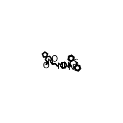 O=C1CC2(CCCC2)CC(=O)N1CCCN1CCN(C2=Nc3ccccc3Sc3ccccc32)CC1